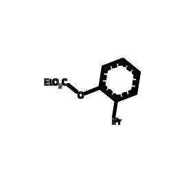 CCOC(=O)Oc1ccccc1C(C)C